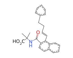 CC(C)(NC(=O)c1ccc2ccccc2c1/C=C/CCc1ccccc1)C(=O)O